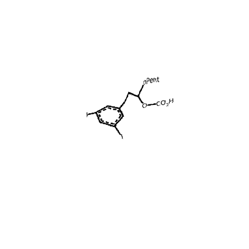 CCCCCC(Cc1cc(I)cc(I)c1)OC(=O)O